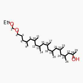 CCOCOCCCC(C)CC(C)CC(C)CC(C)CC(C)CC(C)CC(C)CC(C)O